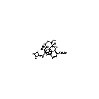 COc1ccc2c3c1O[C@H]1C(C)CC[C@H]4[C@@H](C2)N(CC2CCC2)CC[C@]314